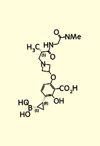 CNC(=O)CNC(=O)[C@@H](C)CN1CC(Oc2ccc([C@@H]3C[C@@H]3B(O)O)c(O)c2C(=O)O)C1